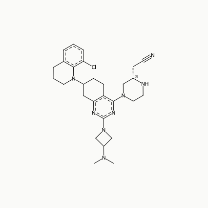 CN(C)C1CN(c2nc3c(c(N4CCN[C@@H](CC#N)C4)n2)CCC(N2CCCc4cccc(Cl)c42)C3)C1